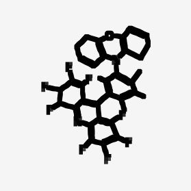 Cc1c(C)c(-c2c3c(nc4c(F)c(F)c(F)c(F)c24)C(F)C(F)C(F)=C3F)c(C)c(N2C3=C(CCC=C3)OC3=C2CCC=C3)c1C